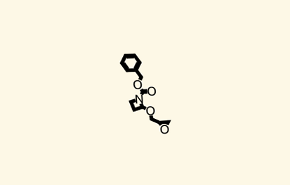 O=C(OCc1ccccc1)N1CCC1OCC1CO1